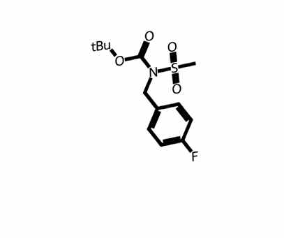 CC(C)(C)OC(=O)N(Cc1ccc(F)cc1)S(C)(=O)=O